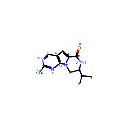 CC(C)C1Cn2c(cc3cnc(Cl)nc32)C(=O)N1